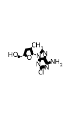 C[C@H]1C[C@@H](CO)O[C@H]1n1cnc2c(N)nc(Cl)nc21